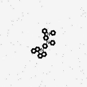 c1ccc(N(c2ccc(N3c4ccc5ccccc5c4-c4cccc5cccc3c45)cc2)c2ccc3c4ccccc4n(-c4ccccc4)c3c2)cc1